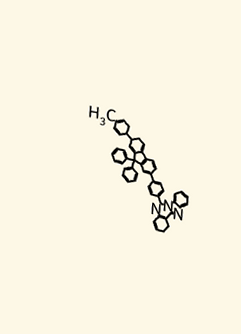 CC1=CCC(C2C=C3C(=CC2)c2ccc(-c4ccc(-c5nc6c(c7nc8ccccc8n57)CCC=C6)cc4)cc2C3(c2ccccc2)c2ccccc2)C=C1